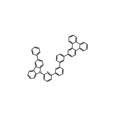 c1ccc(-c2ccc3c(c2)c2ccccc2n3-c2cccc(-c3cccc(-c4cccc(-c5ccc6c7ccccc7c7ccccc7c6c5)c4)c3)n2)cc1